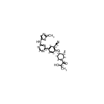 Cc1ncc(Nc2ncnc(-c3ccc(O[C@H]4CCN(C(=O)C(C)O)C[C@H]4F)c(C#N)c3)n2)s1